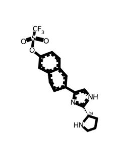 O=S(=O)(Oc1ccc2cc(-c3c[nH]c([C@@H]4CCCN4)n3)ccc2c1)C(F)(F)F